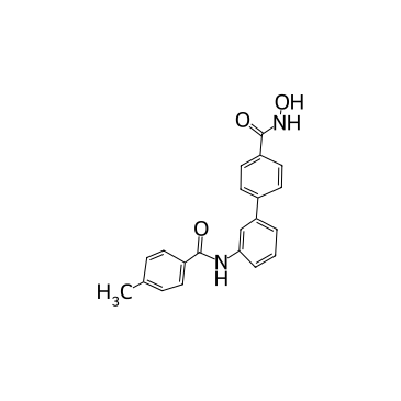 Cc1ccc(C(=O)Nc2cccc(-c3ccc(C(=O)NO)cc3)c2)cc1